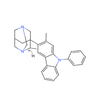 Cc1cc2c(cc1C13CC4CN(CN(C4)[C@@H]1C)C3)c1ccccc1n2-c1ccccc1